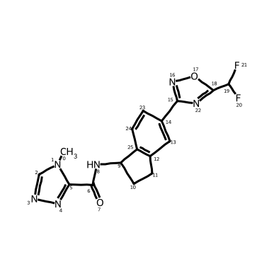 Cn1cnnc1C(=O)NC1CCc2cc(-c3noc(C(F)F)n3)ccc21